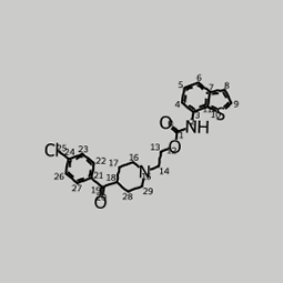 O=C(Nc1cccc2ccsc12)OCCN1CCC(C(=O)c2ccc(Cl)cc2)CC1